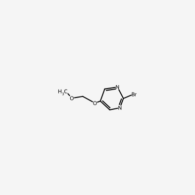 COCOc1cnc(Br)nc1